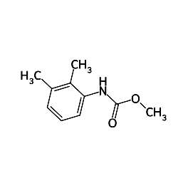 COC(=O)Nc1cccc(C)c1C